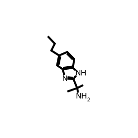 CCCc1ccc2[nH]c(C(C)(C)N)nc2c1